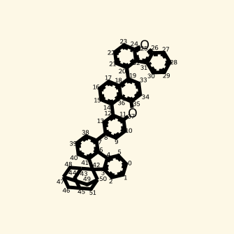 c1ccc2c(c1)-c1c(-c3ccc4c(c3)-c3cccc5c(-c6cccc7oc8ccccc8c67)ccc(c35)O4)cccc1C21C2CC3CC(C2)CC1C3